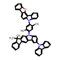 CC1(C)c2ccccc2-c2cc3c4cc(-n5c6ccccc6c6ccccc65)ccc4n(-c4cc(C#N)c(-n5c6ccccc6c6c7oc8ccccc8c7ccc65)cc4C#N)c3cc21